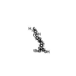 CN1CCC(NC(=O)c2ccc3c(c2)sc2nc(-c4ccc([C@H]5C[C@H](O)CN5C(=O)OC(C)(C)C)cc4F)cn23)CC1